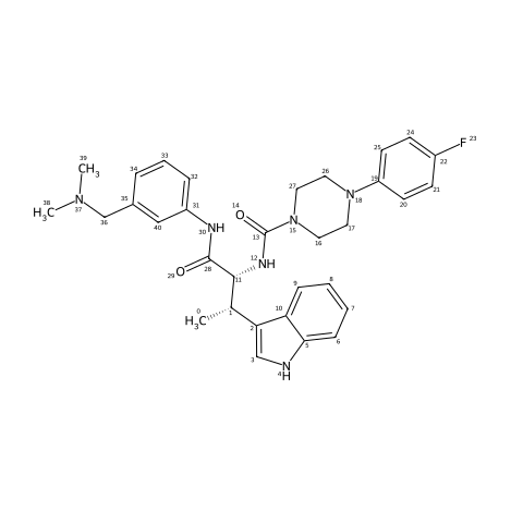 C[C@@H](c1c[nH]c2ccccc12)[C@@H](NC(=O)N1CCN(c2ccc(F)cc2)CC1)C(=O)Nc1cccc(CN(C)C)c1